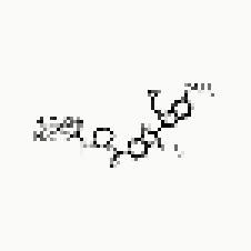 COc1ccc2cc(-c3nc4cc(C(=O)N5CCC[C@@H](NC(=O)OC(C)(C)C)C5)ccc4n3C)n(CC3CC3)c2c1